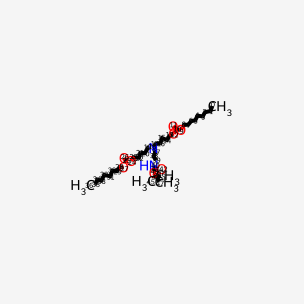 CCCCCCCCCOC(=O)OCCCCCN(CCCCCOC(=O)OCCCCCCCCC)CCCNC(=O)OC(C)(C)C